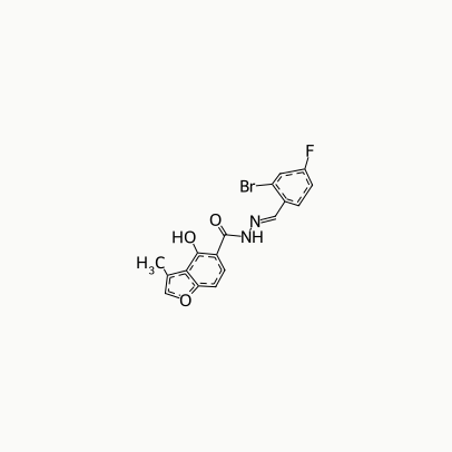 Cc1coc2ccc(C(=O)NN=Cc3ccc(F)cc3Br)c(O)c12